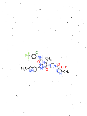 CCc1c(N2CCN(C(=O)c3ncnc(C)c3O)CC2)c(=O)n2nc(-c3ccn4nc(C)cc4c3)nc2n1CC(=O)Nc1ccc(C(F)(F)F)cc1Cl